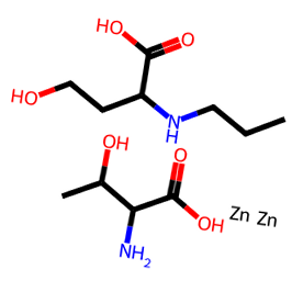 CC(O)C(N)C(=O)O.CCCNC(CCO)C(=O)O.[Zn].[Zn]